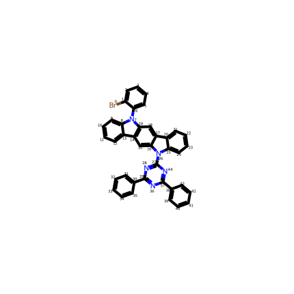 Brc1ccccc1-n1c2ccccc2c2cc3c(cc21)c1ccccc1n3-c1nc(-c2ccccc2)nc(-c2ccccc2)n1